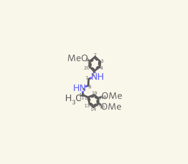 COc1cccc(NCCNC(C)c2ccc(OC)c(OC)c2)c1